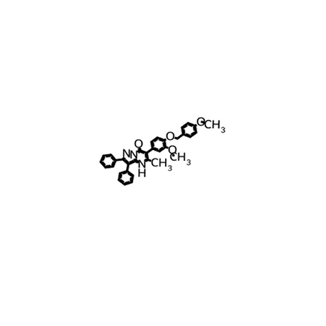 COc1ccc(COc2ccc(-c3c(C)[nH]c4c(-c5ccccc5)c(-c5ccccc5)nn4c3=O)cc2OC)cc1